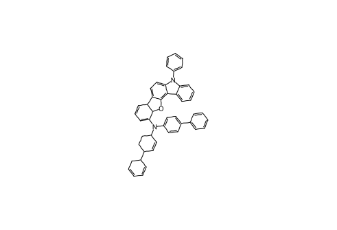 C1=CCC(C2C=CC(N(C3=CC=CC4c5ccc6c(c5OC34)c3ccccc3n6-c3ccccc3)c3ccc(-c4ccccc4)cc3)CC2)C=C1